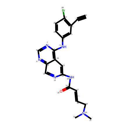 C#Cc1cc(Nc2ncnc3cnc(NC(=O)/C=C/CN(C)C)cc23)ccc1Br